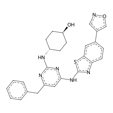 O[C@H]1CC[C@H](Nc2nc(Cc3ccccc3)cc(Nc3nc4ccc(-c5cnoc5)cc4s3)n2)CC1